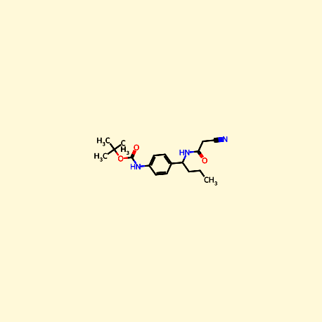 CCCC(NC(=O)CC#N)c1ccc(NC(=O)OC(C)(C)C)cc1